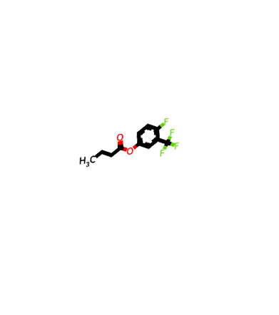 CCCC(=O)Oc1ccc(F)c(C(F)(F)F)c1